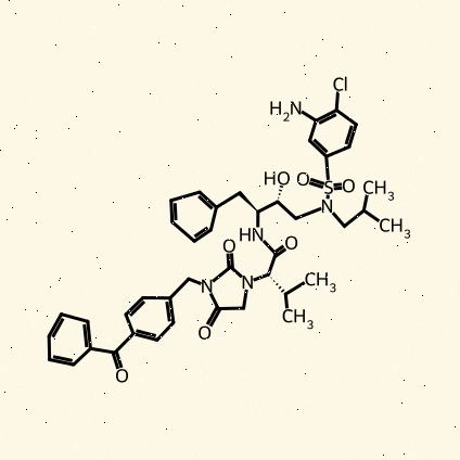 CC(C)CN(C[C@@H](O)[C@H](Cc1ccccc1)NC(=O)[C@H](C(C)C)N1CC(=O)N(Cc2ccc(C(=O)c3ccccc3)cc2)C1=O)S(=O)(=O)c1ccc(Cl)c(N)c1